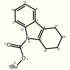 CC(C)(C)OC(=O)n1c2c(c3ccccc31)CCCC2